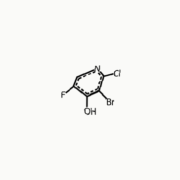 Oc1c(F)cnc(Cl)c1Br